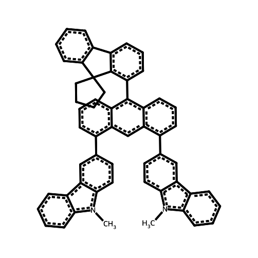 Cn1c2ccccc2c2cc(-c3cccc4c(-c5cccc6c5C5(CCCC5)c5ccccc5-6)c5cccc(-c6ccc7c(c6)c6ccccc6n7C)c5cc34)ccc21